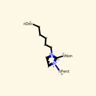 CCCCCCCCCCCCCCCn1cc[n+](CCCCC)c1CCCCCCCCC